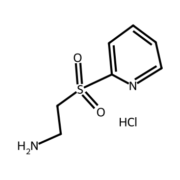 Cl.NCCS(=O)(=O)c1ccccn1